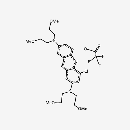 COCCN(CCOC)c1ccc2nc3c(Cl)cc(N(CCOC)CCOC)cc3[s+]c2c1.O=C([O-])C(F)(F)F